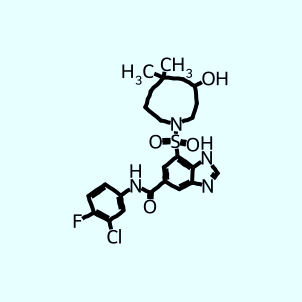 CC1(C)CCCN(S(=O)(=O)c2cc(C(=O)Nc3ccc(F)c(Cl)c3)cc3nc[nH]c23)CCC(O)C1